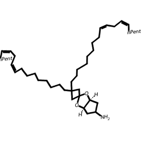 CCCCC/C=C\C/C=C\CCCCCCCCC1(CCCCCCCC/C=C\C/C=C\CCCCC)CC2(C1)O[C@H]1CC(N)C[C@H]1O2